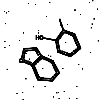 Cc1ccccc1O.c1ccc2occc2c1